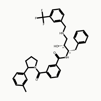 Cc1cccc(C2CCCN2C(=O)c2cccc(C(=O)N[C@@H](Cc3ccccc3)[C@H](O)CNCc3cccc(C(F)(F)F)c3)c2)c1